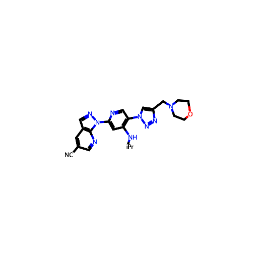 CC(C)Nc1cc(-n2ncc3cc(C#N)cnc32)ncc1-n1cc(CN2CCOCC2)nn1